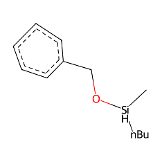 CCCC[SiH](C)OCc1ccccc1